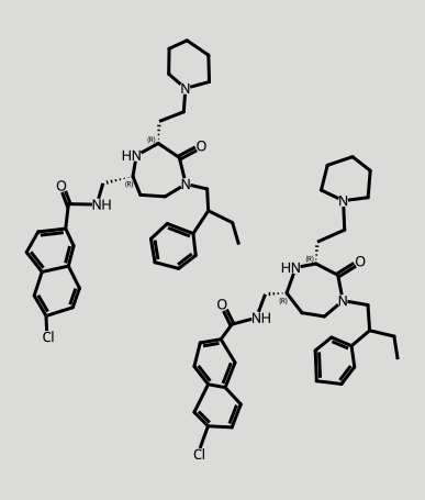 CCC(CN1CC[C@H](CNC(=O)c2ccc3cc(Cl)ccc3c2)N[C@H](CCN2CCCCC2)C1=O)c1ccccc1.CCC(CN1CC[C@H](CNC(=O)c2ccc3cc(Cl)ccc3c2)N[C@H](CCN2CCCCC2)C1=O)c1ccccc1